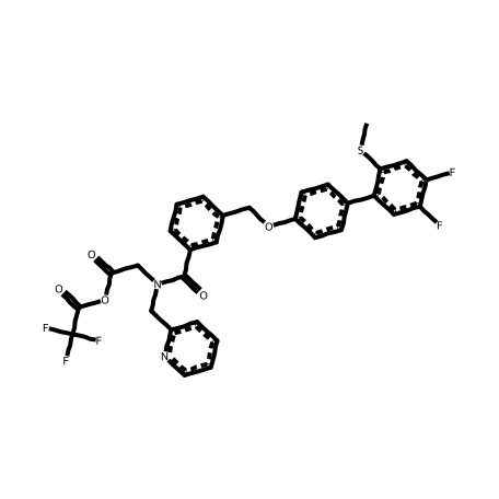 CSc1cc(F)c(F)cc1-c1ccc(OCc2cccc(C(=O)N(CC(=O)OC(=O)C(F)(F)F)Cc3ccccn3)c2)cc1